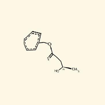 C[C@@H](O)CC(=S)Oc1ccccc1